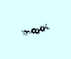 [3H]CC(O)COc1ccc2nc(-c3ccc(NCC)nc3)ccc2c1